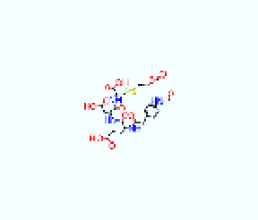 O=CNc1ccc(CC(=O)N[C@@H](CCC(=O)O)C(=O)N[C@@H](CC(=O)O)C(=O)N[C@@H](CSSCCOC=O)C(=O)O)cc1